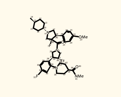 CC[C@H]1CN(C(=O)[C@]2(F)CN([C@H]3CC[C@H](C)CC3)C[C@H]2c2ccc(OC)cc2)C[C@@H]1c1ccc(F)cc1N1CCC(C(=O)NC)CC1